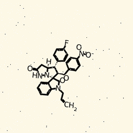 C=CCN1C(=O)[C@@]2(c3ccccc31)[C@H](C(=O)c1ccc([N+](=O)[O-])cc1)[C@@H](c1ccc(F)cc1)[C@@H]1CC(=O)NN12